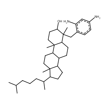 CC(C)CCCC(C)C1CCC2C3CCC4C(C)(Cc5ccc(N)cc5N)C(O)CCC4(C)C3CCC12C